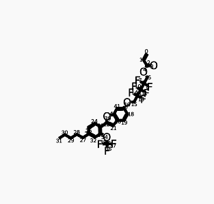 C=CC(=O)OCC(F)(F)C(F)(F)C(F)(F)COc1ccc2cc(-c3ccc(CCCCC)cc3OC(F)(F)F)oc2c1